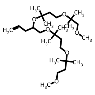 C=CCC(COC(C)(C)CCOC(C)(C)CCOC)OC(C)(C)CCOC(C)(C)COC